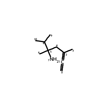 C=C=C(C)CC(C)(N)C(C)C